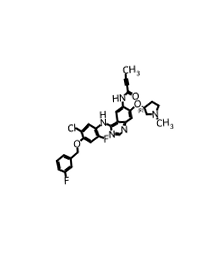 CC#CC(=O)Nc1cc2c(Nc3cc(Cl)c(OCc4cccc(F)c4)cc3F)ncnc2cc1O[C@@H]1CCN(C)C1